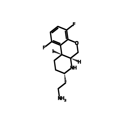 NCC[C@@H]1CC[C@@]2(I)c3c(F)ccc(F)c3OC[C@H]2N1